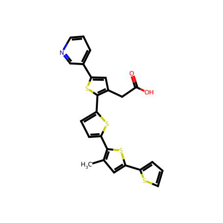 Cc1cc(-c2cccs2)sc1-c1ccc(-c2sc(-c3cccnc3)cc2CC(=O)O)s1